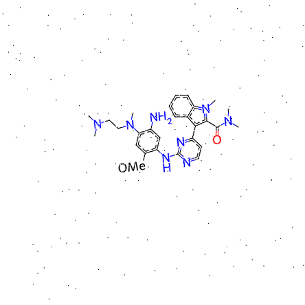 COc1cc(N(C)CCN(C)C)c(N)cc1Nc1nccc(-c2c(C(=O)N(C)C)n(C)c3ccccc23)n1